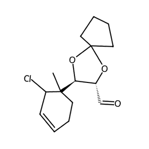 CC1([C@H]2OC3(CCCC3)O[C@@H]2C=O)CCC=CC1Cl